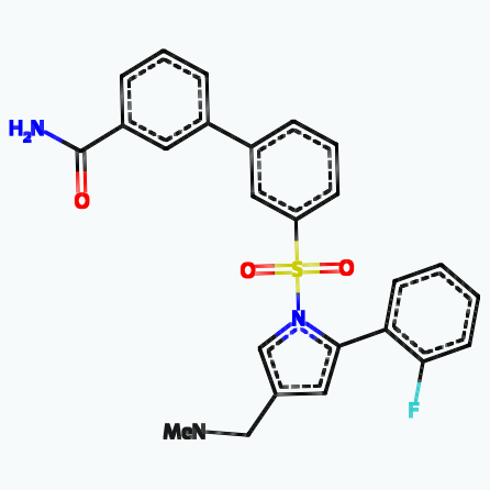 CNCc1cc(-c2ccccc2F)n(S(=O)(=O)c2cccc(-c3cccc(C(N)=O)c3)c2)c1